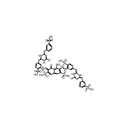 Nc1c(N=Nc2cc(N=c3[nH]c(Cl)nc(=Nc4cccc(S(=O)(=O)O)c4)[nH]3)ccc2S(=O)(=O)O)c(S(=O)(=O)O)cc2c1C(=O)/C(=N/Nc1cc(N=c3[nH]c(Cl)nc(=Nc4cccc(S(=O)(=O)O)c4)[nH]3)ccc1S(=O)(=O)O)C(S(=O)(=O)O)=C2